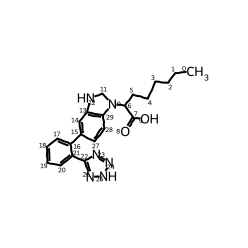 CCCCCCC(C(=O)O)N1CNc2cc(-c3ccccc3-c3nn[nH]n3)ccc21